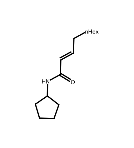 CCCCCCCC=CC(=O)NC1CCCC1